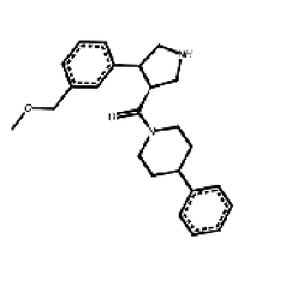 COCc1cccc(C2CNC[C@H]2C(=O)N2CCC(c3ccccc3)CC2)c1